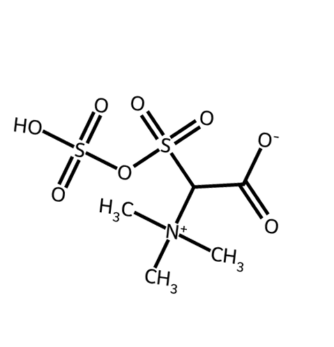 C[N+](C)(C)C(C(=O)[O-])S(=O)(=O)OS(=O)(=O)O